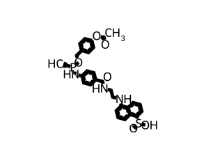 C#CP(Nc1ccc(C(=O)NCCNc2cccc3c(S(=O)O)cccc23)cc1)OCc1ccc(OC(C)=O)cc1